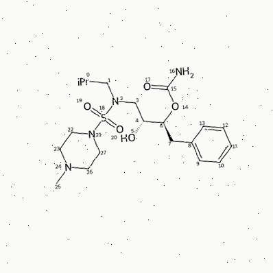 CC(C)CN(C[C@@H](O)[C@H](Cc1ccccc1)OC(N)=O)S(=O)(=O)N1CCN(C)CC1